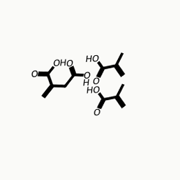 C=C(C)C(=O)O.C=C(C)C(=O)O.C=C(CC(=O)O)C(=O)O